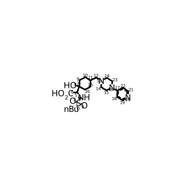 CCCCS(=O)(=O)NC(C(=O)O)C1(O)CCC(CN2CCN(c3ccncc3)CC2)CC1